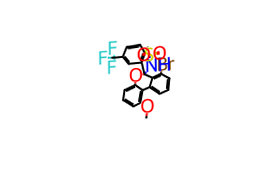 COc1cccc2c1-c1cccc(Br)c1C(NS(C)(=O)=O)(c1cccc(C(F)(F)F)c1)O2